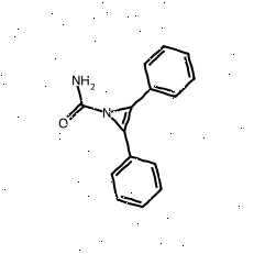 NC(=O)N1C(c2ccccc2)=C1c1ccccc1